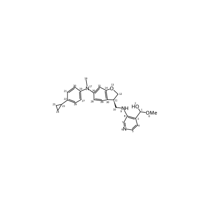 COC(O)c1ccncc1NC[C@@H]1COc2cc(N(C)c3ccc(C4CC4)cc3)ccc21